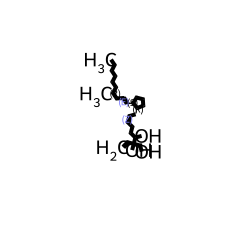 C=CC(O)(CO)C(O)CC/C=C\C[C@H]1CCC[C@@H]1/C=C/C[C@H](C)CCCCCC